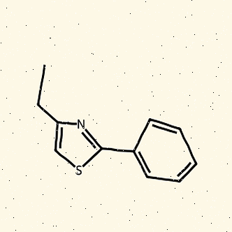 CCc1csc(-c2ccccc2)n1